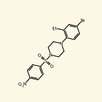 CCc1cc(Br)ccc1N1CCN(S(=O)(=O)c2ccc([N+](=O)[O-])cc2)CC1